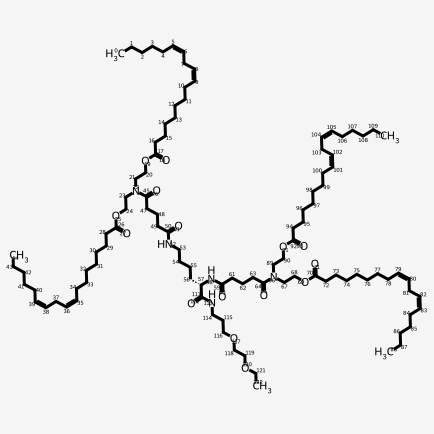 CCCCC/C=C\C/C=C\CCCCCCCC(=O)OCCN(CCOC(=O)CCCCCCC/C=C\C/C=C\CCCCC)C(=O)CCCC(=O)NCCCC[C@H](NC(=O)CCCC(=O)N(CCOC(=O)CCCCCCC/C=C\C/C=C\CCCCC)CCOC(=O)CCCCCCC/C=C\C/C=C\CCCCC)C(=O)NCCCOCCOCC